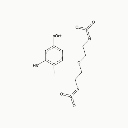 CCCCCCCCc1ccc(C)c(S)c1.O=S(=O)=NCCOCCN=S(=O)=O